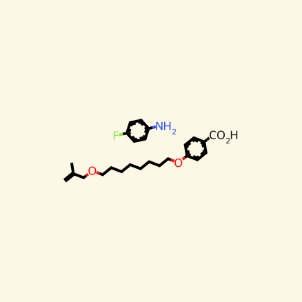 C=C(C)COCCCCCCCCOc1ccc(C(=O)O)cc1.Nc1ccc(F)cc1